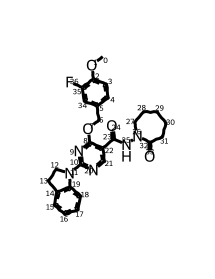 COc1ccc(COc2nc(N3CCc4ccccc43)ncc2C(=O)NN2CCCCCC2=O)cc1F